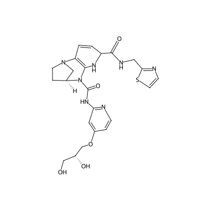 O=C(NCc1nccs1)C1C=CC2=C(N1)N(C(=O)Nc1cc(OC[C@H](O)CO)ccn1)[C@H]1CCN2C1